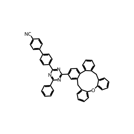 N#Cc1ccc(-c2ccc(-c3nc(-c4ccccc4)nc(-c4ccc5c(c4)Cc4ccccc4Oc4ccccc4Cc4ccccc4-5)n3)cc2)cc1